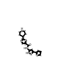 O=C(Nc1cc(-c2cccs2)n[nH]1)c1csc(C2CCNCC2)n1